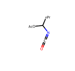 CCCC(N=C=O)OC(C)=O